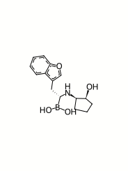 OB(O)[C@H](Cc1coc2ccccc12)N[C@@H]1CCC[C@@H]1O